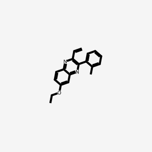 C=Cc1nc2ccc(OCC)cc2nc1-c1ccccc1C